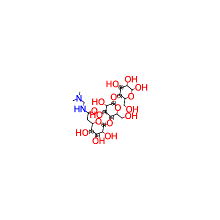 CN(C)CNC(=O)CC1O[C@@H](O[C@@H]2C(CO)O[C@@H](O[C@@H]3C(CO)OC(O)C(O)[C@H]3O)C(O)[C@H]2O)C(O)[C@@H](O)[C@@H]1O